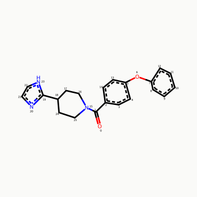 O=C(c1ccc(Oc2ccccc2)cc1)N1CCC(c2ncc[nH]2)CC1